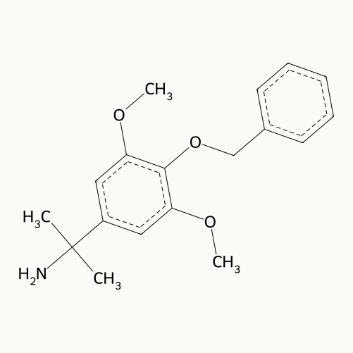 COc1cc(C(C)(C)N)cc(OC)c1OCc1ccccc1